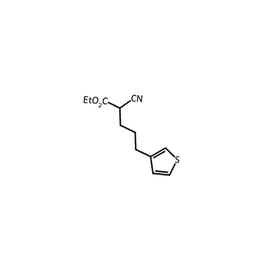 CCOC(=O)C(C#N)CCCc1ccsc1